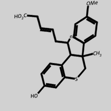 CCCC(CC=CCC(=O)O)C1c2ccc(O)cc2SCC1(C)c1ccc(OC)cc1